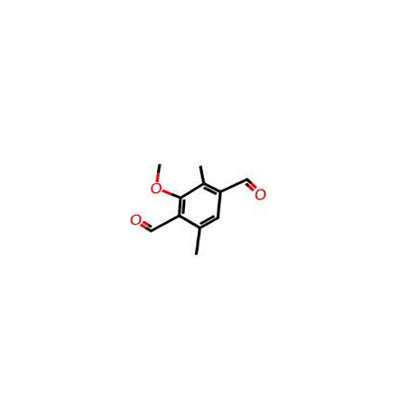 COc1c(C)c(C=O)cc(C)c1C=O